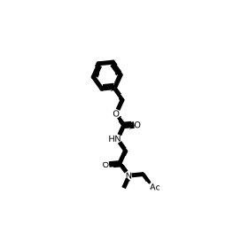 CC(=O)CN(C)C(=O)CNC(=O)OCc1ccccc1